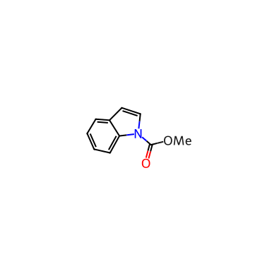 COC(=O)n1ccc2ccccc21